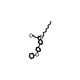 CCCCCCCCn1cc(CC=O)c2cc(-c3ccc(Oc4ccccc4)cc3)ccc21